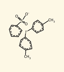 Cc1ccc([I+]c2ccc(C)cc2)cc1.O=S(=O)([O-])c1ccccc1